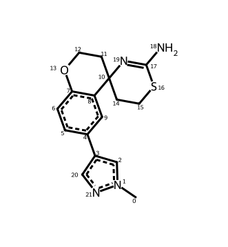 Cn1cc(-c2ccc3c(c2)C2(CCO3)CCSC(N)=N2)cn1